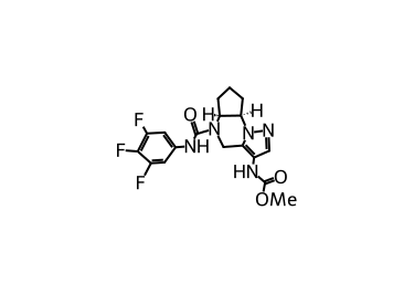 COC(=O)Nc1cnn2c1CN(C(=O)Nc1cc(F)c(F)c(F)c1)[C@H]1CCC[C@H]12